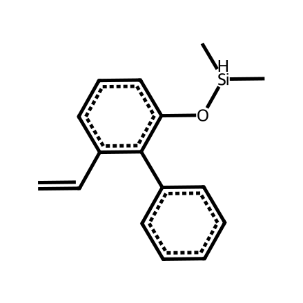 C=Cc1cccc(O[SiH](C)C)c1-c1ccccc1